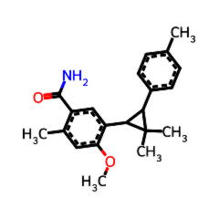 COc1cc(C)c(C(N)=O)cc1C1C(c2ccc(C)cc2)C1(C)C